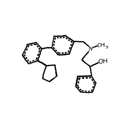 CN(Cc1ccc(-c2ccccc2C2CCCC2)cc1)CC(O)c1ccccc1